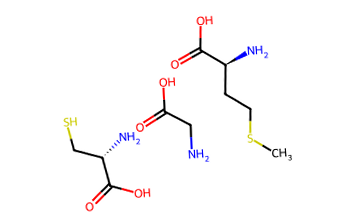 CSCC[C@H](N)C(=O)O.NCC(=O)O.N[C@@H](CS)C(=O)O